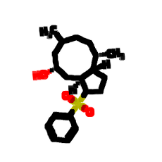 CC1CC[C@H](C)[C@@H]2CCC(S(=O)(=O)c3ccccc3)[C@H]2C[C@H](O)C1